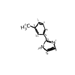 Cc1cccc(C2=NC=C[N]2)c1